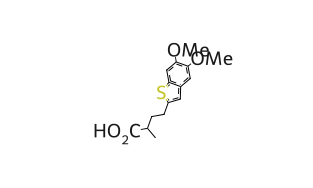 COc1cc2cc(CCC(C)C(=O)O)sc2cc1OC